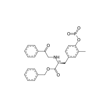 Cc1cc(C[C@H](NCC(=O)c2ccccc2)C(=O)OCc2ccccc2)ccc1OP(=O)=O